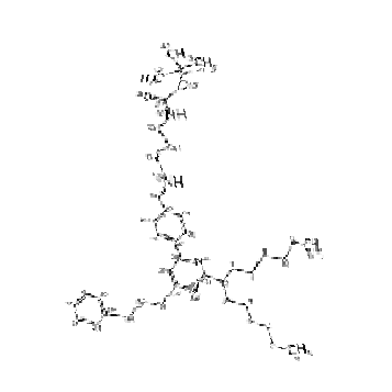 CCCCCCC(CCCCCC)c1nc(CCCc2ccccc2)cc(-c2ccc(CNCCCNC(=O)OC(C)(C)C)cc2)n1